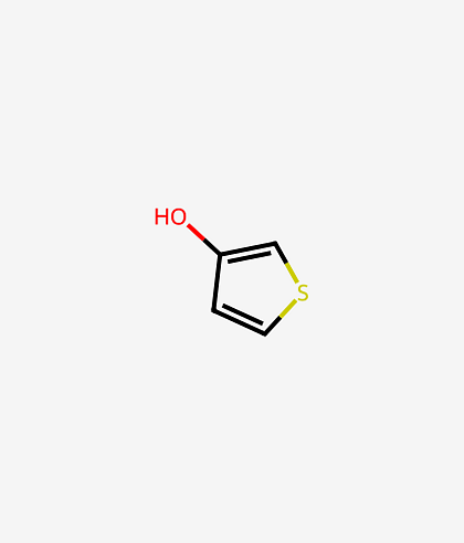 Oc1ccsc1